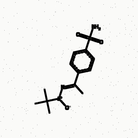 C/C(=N\[S+]([O-])C(C)(C)C)c1ccc(S(N)(=O)=O)cc1